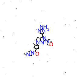 CCN1CCN(C(=O)c2ccc(N3CCc4c(-c5cnc(N)nc5)nc(N5CCOCC5)nc43)c(C)c2)CC1